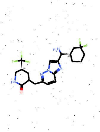 NC(c1cn2nc(CC3C[C@H](C(F)(F)F)CNC3=O)ccc2n1)[C@@H]1CCCC(F)(F)C1